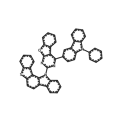 c1ccc(-n2c3ccccc3c3cc(-c4nc(-n5c6ccccc6c6ccc7sc8ccccc8c7c65)nc5oc6ccccc6c45)ccc32)cc1